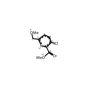 COCc1ccc(Cl)c(C(=O)OC)n1